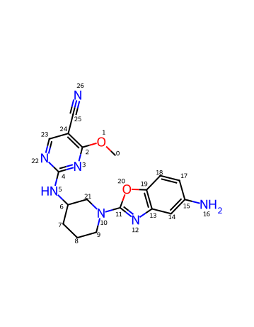 COc1nc(NC2CCCN(c3nc4cc(N)ccc4o3)C2)ncc1C#N